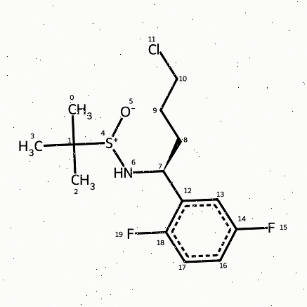 CC(C)(C)[S+]([O-])N[C@@H](CCCCl)c1cc(F)ccc1F